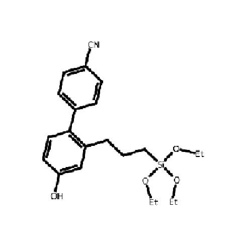 CCO[Si](CCCc1cc(O)ccc1-c1ccc(C#N)cc1)(OCC)OCC